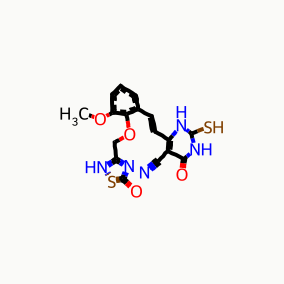 COc1cccc(/C=C/C2=C(C#N)C(=O)NC(S)N2)c1OCc1nc(=O)s[nH]1